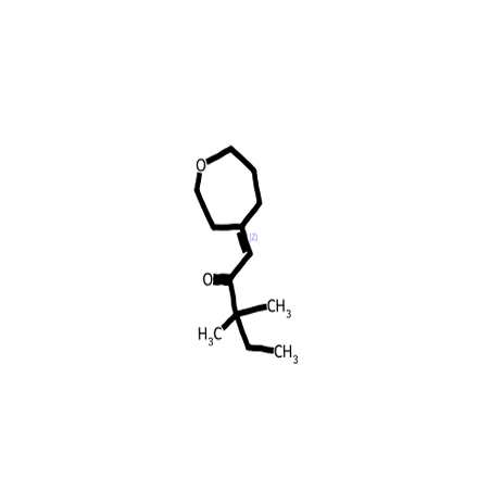 CCC(C)(C)C(=O)/C=C1/CCCOCC1